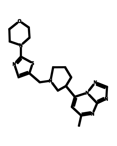 Cc1cc(C2CCCN(Cc3cnc(N4CCOCC4)s3)C2)n2ncnc2n1